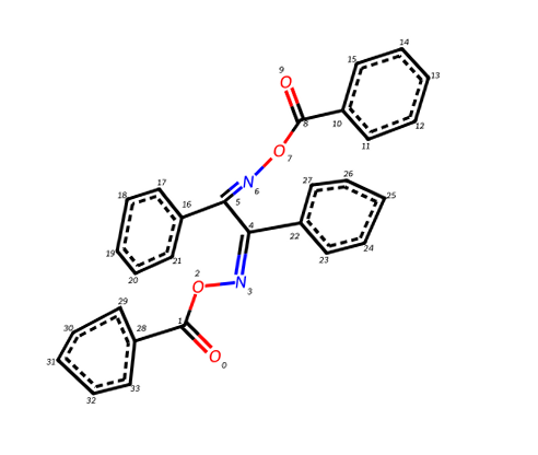 O=C(O/N=C(\C(=N/OC(=O)c1ccccc1)c1ccccc1)c1ccccc1)c1ccccc1